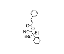 CCCCC(CC)(c1ccccc1)C(C#N)OC(=O)C=Cc1ccccc1